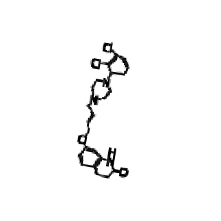 O=C1CCc2ccc(OCC=CCN3CCN(c4cccc(Cl)c4Cl)CC3)cc2N1